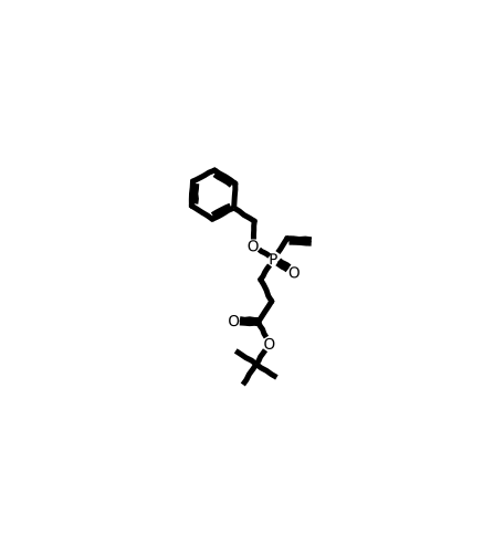 C=CP(=O)(CCC(=O)OC(C)(C)C)OCc1ccccc1